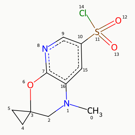 CN1CC2(CC2)Oc2ncc(S(=O)(=O)Cl)cc21